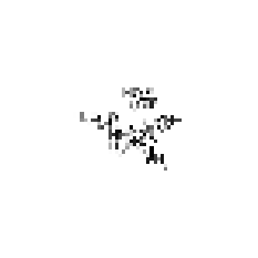 CC#CCn1c(N2CCNCC2)nc2nc(NCCC(=O)OCC)n(C)c(=O)c21.O=C(O)C(F)(F)F